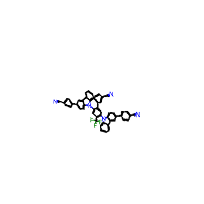 N#Cc1ccc(-c2ccc3c(c2)c2ccccc2n3-c2cc(C(F)(F)F)c(-n3c4ccccc4c4cc(-c5ccc(C#N)cc5)ccc43)cc2-c2cccc(C#N)c2)cc1